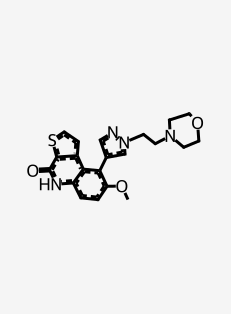 COc1ccc2[nH]c(=O)c3sccc3c2c1-c1cnn(CCN2CCOCC2)c1